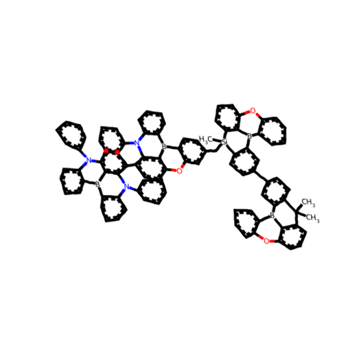 CC1(C)c2ccc(-c3ccc4c(c3)B3c5ccccc5Oc5cccc(c53)[Si]4(C)Cc3ccc4c(c3)Oc3ccc(-c5ccc6c7c5N(c5ccccc5)c5ccccc5B7c5ccccc5N6c5ccccc5)c5c3B4c3ccccc3N5c3ccccc3)cc2B2c3ccccc3Oc3cccc1c32